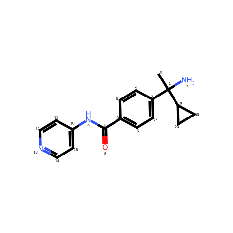 CC(N)(c1ccc(C(=O)Nc2ccncc2)cc1)C1CC1